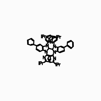 CC(C)c1cccc(N2c3ccc(-c4ccccc4)cc3N(c3cccc(C(C)C)n3)C2C2N(c3cccc(C(C)C)n3)c3ccc(-c4ccccc4)cc3N2c2cccc(C(C)C)n2)n1